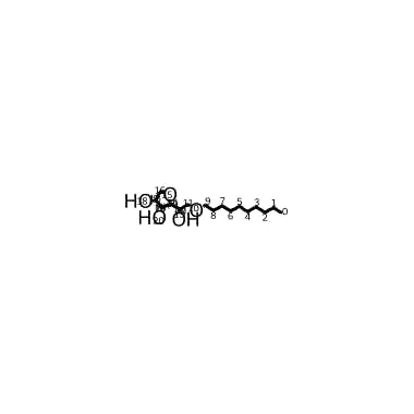 CCCCCCCCCCOC[C@@H](O)[C@H]1OC[C@H](O)[C@H]1O